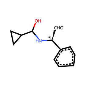 O=C[C@H](NC(O)C1CC1)c1ccccc1